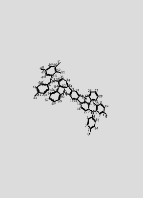 Cc1ccc(N(c2cc(C)ccc2C)c2ccc3c4cc5c(cc4n4c6ccccc6c2c34)c2ccc(N(c3ccc(C)cc3)c3cc(C)cc(C)c3C)c3c4ccccc4n5c23)cc1